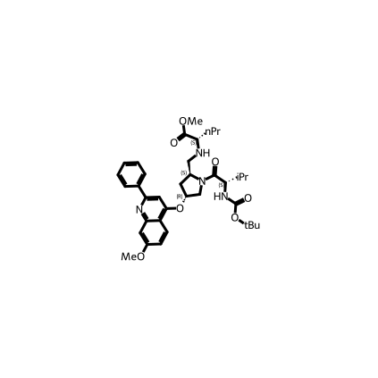 CCC[C@H](NC[C@@H]1C[C@@H](Oc2cc(-c3ccccc3)nc3cc(OC)ccc23)CN1C(=O)[C@@H](NC(=O)OC(C)(C)C)C(C)C)C(=O)OC